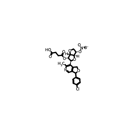 Cc1ncc2c(c1[C@@H]1O[C@H]3[C@@H](OC[C@@H]3O[N+](=O)[O-])[C@H]1OC(=O)CCC(=O)O)COC2c1ccc(Cl)cc1